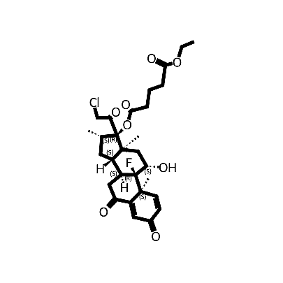 CCOC(=O)CCCC(=O)O[C@]1(C(=O)CCl)[C@@H](C)C[C@H]2[C@@H]3CC(=O)C4=CC(=O)C=C[C@]4(C)[C@@]3(F)[C@@H](O)C[C@@]21C